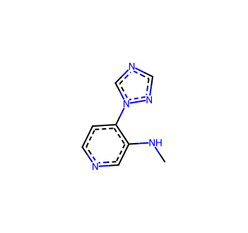 CNc1cnccc1-n1cncn1